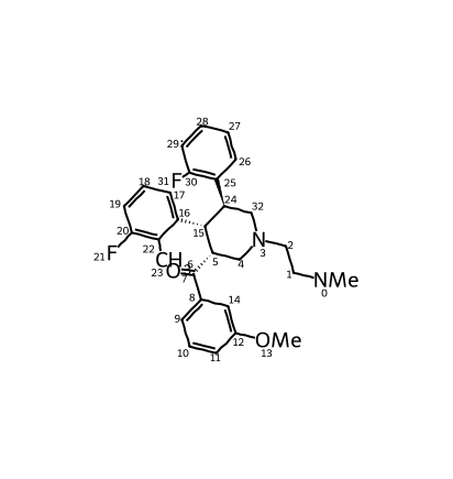 CNCCN1C[C@H](C(=O)c2cccc(OC)c2)[C@H](c2cccc(F)c2C)[C@@H](c2ccc[c]c2F)C1